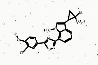 CCC1(C(=O)O)CC1c1cn(C)c2c(-c3noc(-c4ccc(OC(C)C)c(Cl)c4)n3)cccc12